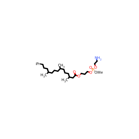 COP(=O)(OCCN)OCCCOC(=O)CC(C)CCCC(C)CCCC(C)CCCC(C)C